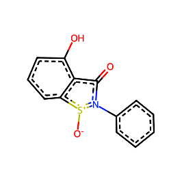 O=c1c2c(O)cccc2[s+]([O-])n1-c1ccccc1